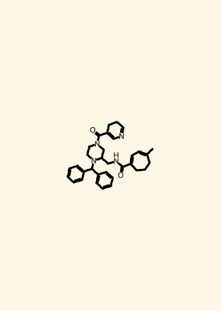 CC1=CC=C(C(=O)NCC2CN(C(=O)C3=CN=CCC3)CCN2C(c2ccccc2)c2ccccc2)CCC1